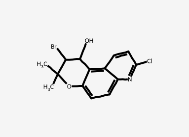 CC1(C)Oc2ccc3nc(Cl)ccc3c2C(O)C1Br